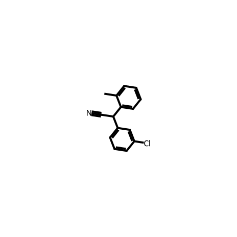 Cc1ccccc1C(C#N)c1cccc(Cl)c1